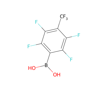 OB(O)c1c(F)c(F)c(C(F)(F)F)c(F)c1F